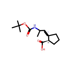 CC(/C=C1/CCC[C@H]1C(=O)O)NC(=O)OC(C)(C)C